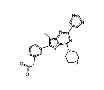 Cc1c(-c2cccc(C[SH](=O)=O)c2)sc2c(N3CCOCC3)nc(-c3cncnc3)nc12